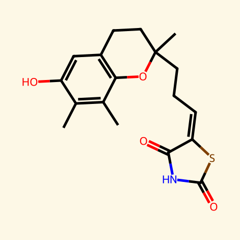 Cc1c(O)cc2c(c1C)OC(C)(CCC=C1SC(=O)NC1=O)CC2